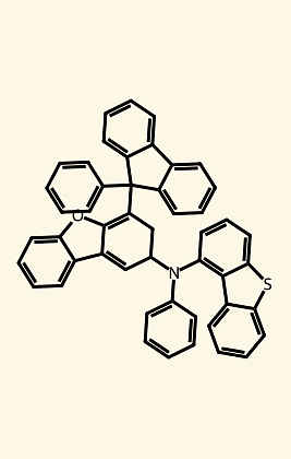 C1=c2c(oc3ccccc23)=C(C2(c3ccccc3)c3ccccc3-c3ccccc32)CC1N(c1ccccc1)c1cccc2sc3ccccc3c12